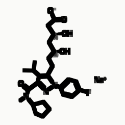 CC(C)c1c(C(=O)N(C)C2CCCC2)nn(-c2ccc(F)cc2)c1CC[C@@H](O)C[C@@H](O)CC(=O)[O-].[Na+]